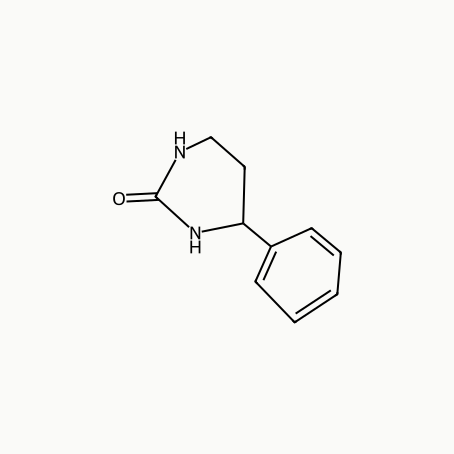 O=C1NCCC(c2ccccc2)N1